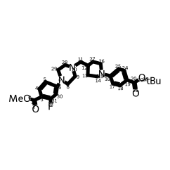 COC(=O)c1ccc(N2CCN(CC3CCN(c4ccc(C(=O)OC(C)(C)C)cc4)CC3)CC2)cc1F